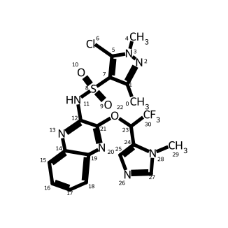 Cc1nn(C)c(Cl)c1S(=O)(=O)Nc1nc2ccccc2nc1OC(c1cncn1C)C(F)(F)F